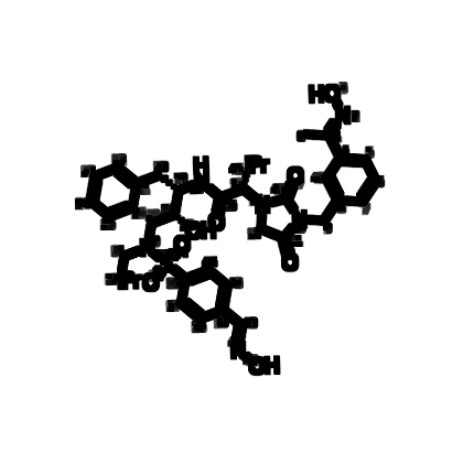 C/C(=N\O)c1cccc(CN2C(=O)CN([C@H](C(=O)N[C@@H](Cc3ccccc3)[C@H](O)CN(CC(C)C)S(=O)(=O)c3ccc(/C=N/O)cc3)C(C)C)C2=O)c1